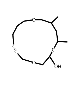 CC1CCCCCCCCCCC(O)CC(C)C1